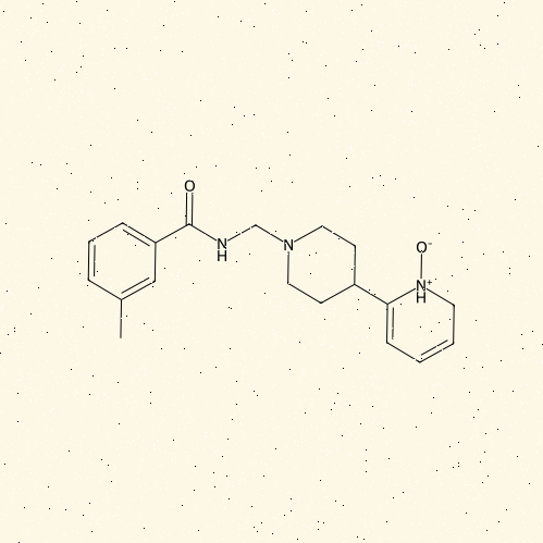 Cc1cccc(C(=O)NCN2CCC(C3=CC=CC[NH+]3[O-])CC2)c1